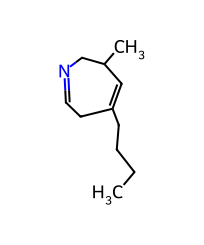 CCCCC1=CC(C)CN=CC1